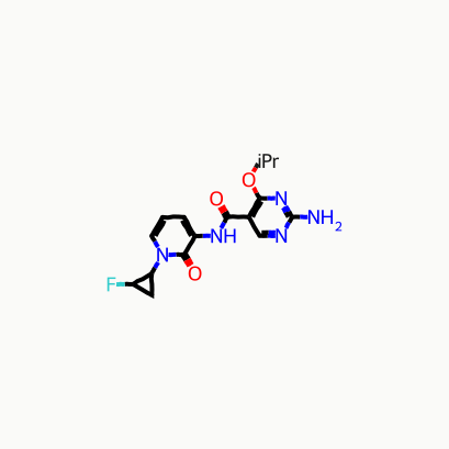 CC(C)Oc1nc(N)ncc1C(=O)Nc1cccn(C2CC2F)c1=O